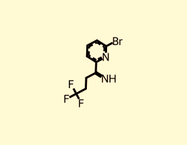 N=C(CCC(F)(F)F)c1cccc(Br)n1